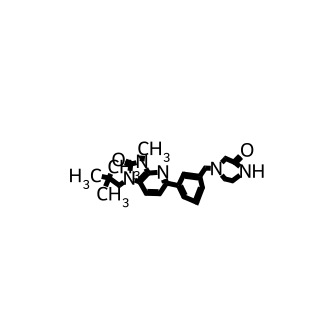 Cn1c(=O)n(CC(C)(C)C)c2ccc(-c3cccc(CN4CCNC(=O)C4)c3)nc21